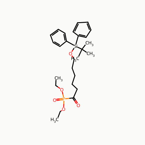 CCOP(=O)(OCC)C(=O)CCCCCO[Si](c1ccccc1)(c1ccccc1)C(C)(C)C